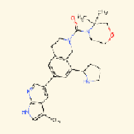 Cc1c[nH]c2ncc(-c3cc4c(c(C5CCCN5)c3)CN(C(=O)N3CCOCC3(C)C)CC4)cc12